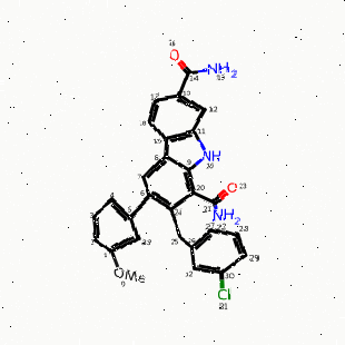 COc1cccc(-c2cc3c([nH]c4cc(C(N)=O)ccc43)c(C(N)=O)c2Cc2cccc(Cl)c2)c1